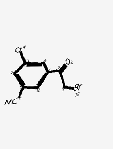 N#Cc1cc(Cl)cc(C(=O)CBr)c1